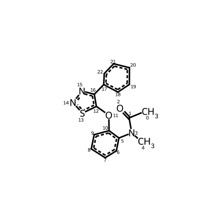 CC(=O)N(C)c1ccccc1Oc1snnc1-c1ccccc1